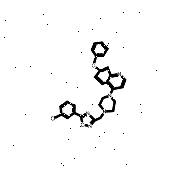 Clc1cccc(-c2nc(CN3CCN(c4ccnc5cc(Oc6ccccc6)ccc45)CC3)no2)c1